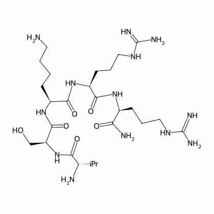 CC(C)[C@H](N)C(=O)N[C@@H](CO)C(=O)N[C@@H](CCCCN)C(=O)N[C@@H](CCCNC(=N)N)C(=O)N[C@@H](CCCNC(=N)N)C(N)=O